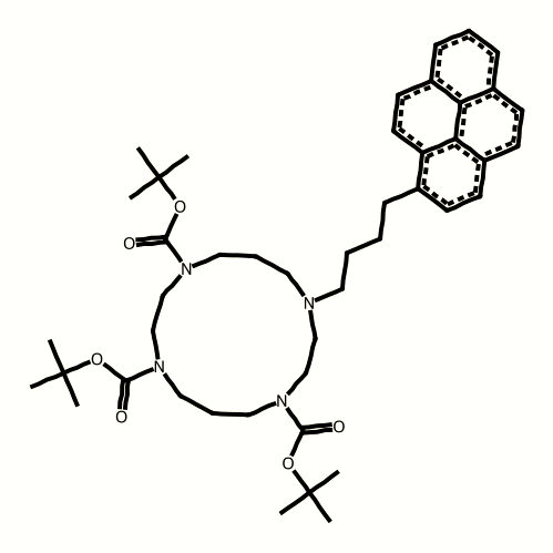 CC(C)(C)OC(=O)N1CCCN(C(=O)OC(C)(C)C)CCN(C(=O)OC(C)(C)C)CCCN(CCCCc2ccc3ccc4cccc5ccc2c3c45)CC1